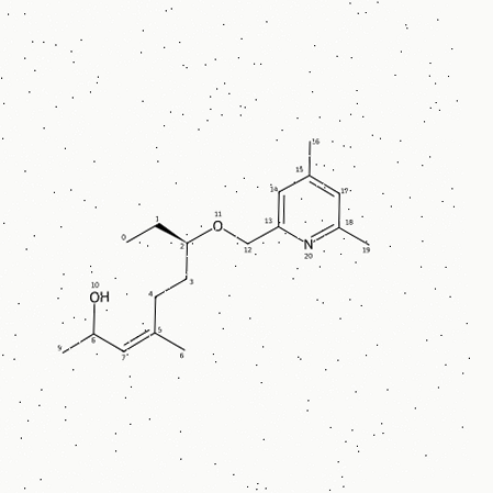 CC[C@H](CC/C(C)=C\C(C)O)OCc1cc(C)cc(C)n1